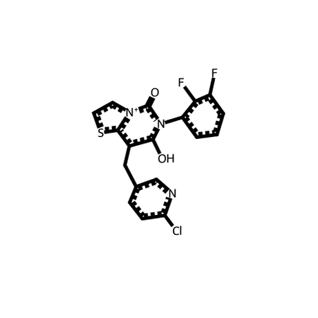 O=c1n(-c2cccc(F)c2F)c(O)c(Cc2ccc(Cl)nc2)c2scc[n+]12